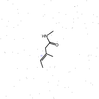 C/C=C(\C)CC(=O)NC